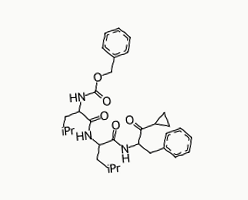 CC(C)CC(NC(=O)OCc1ccccc1)C(=O)NC(CC(C)C)C(=O)NC(Cc1ccccc1)C(=O)C1CC1